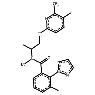 CCN(C(=O)c1cccc(F)c1-n1nccn1)C(C)COc1ccc(F)c(C(F)(F)F)n1